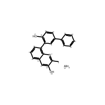 Cc1nc2c(-c3cc(-c4ccccc4)ccc3O)cccc2cc1O.[AlH3]